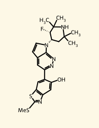 CSc1nc2cc(O)c(-c3cc4ccn([C@H]5CC(C)(C)NC(C)(C)[C@H]5F)c4nn3)cc2s1